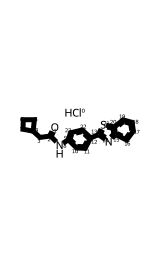 Cl.O=C(CC1CCC1)Nc1ccc(-c2nc3ccccc3s2)cc1